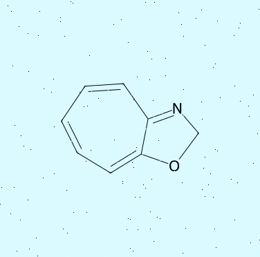 C1=CC=C2OCN=C2C=C1